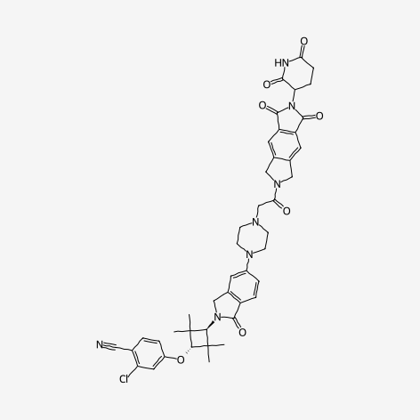 CC1(C)[C@H](Oc2ccc(C#N)c(Cl)c2)C(C)(C)[C@H]1N1Cc2cc(N3CCN(CC(=O)N4Cc5cc6c(cc5C4)C(=O)N(C4CCC(=O)NC4=O)C6=O)CC3)ccc2C1=O